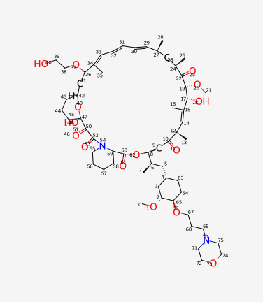 CO[C@@H]1C[C@H](C[C@@H](C)[C@@H]2CC(=O)[C@H](C)/C=C(\C)[C@@H](O)[C@@H](OC)C(=O)[C@H](C)C[C@H](C)/C=C/C=C/C=C(\C)C(OCCO)C[C@@H]3CC[C@@H](C)[C@@](O)(O3)C(=O)C(=O)N3CCCCC3C(=O)O2)CC[C@H]1OCCCN1CCOCC1